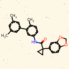 Cc1cc(C)cc(-c2cc(NC(=O)C3(c4ccc5c(c4)OCO5)CC3)ccc2C)c1